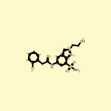 NS(=O)(=O)c1cc(NC(=O)Cc2ccccc2Cl)cc2cn(CCO)nc12